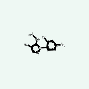 CCCNc1c(C#N)cnn1-c1ccc(C(F)(F)F)cc1Cl